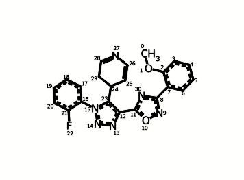 COc1ccccc1-c1noc(-c2nnn(-c3ccccc3F)c2C2C=CN=CC2)n1